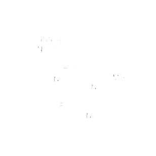 COc1ccc2ncc(F)c(C(CO)CN3CCC(NC(=O)O)CC3)c2n1